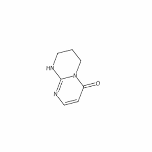 O=c1ccnc2n1CCCN2